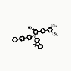 CC(C)(C)c1cc(-c2ccc(-c3cc(C(C)(C)C)cc(C(C)(C)C)c3)cc2)cc(N(c2ccc(-c3ccc(C4CCCCC4)cc3)cc2)c2ccc3c(c2)C(C)(C)c2ccccc2-3)c1